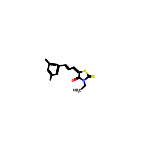 Cc1cc(C)cc(C=CC=C2SC(=S)N(CC(=O)O)C2=O)c1